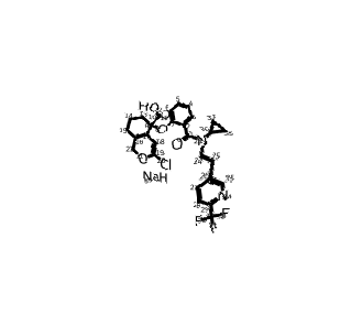 O=C(c1ccccc1OC1(C(=O)O)CCCC2=C1C=C(Cl)OC2)N(CCc1ccc(C(F)(F)F)nc1)C1CC1.[NaH]